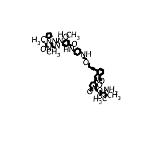 CC[C@@H]1C(=O)N(C)c2cnc(Nc3ccc(C(=O)NC4CCC(NCCOCCC#Cc5cccc6c5CN(C5CCC(=O)N(COC(=O)[C@@H](N)C(C)C)C5=O)C6=O)CC4)cc3OC)nc2N1C1CCCC1